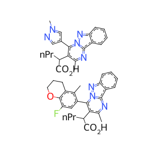 CCCC(C(=O)O)c1c(C)nc2c3ccccc3nn2c1-c1cc(F)c2c(c1C)CCCO2.CCCC(C(=O)O)c1c(C)nc2c3ccccc3nn2c1-c1cnn(C)c1